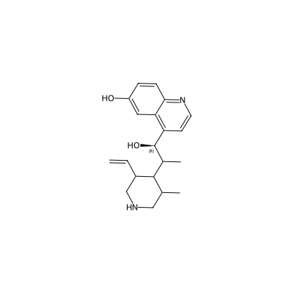 C=CC1CNCC(C)C1C(C)[C@@H](O)c1ccnc2ccc(O)cc12